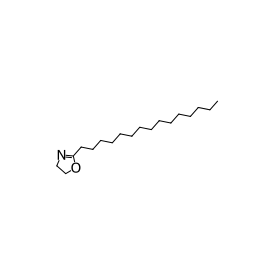 CCCCCCCCCCCCCCCC1=NCCO1